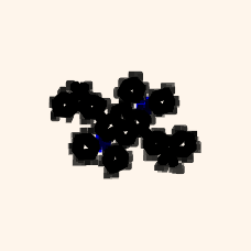 CC1(C)c2ccccc2-c2cc(-c3cc(N(c4ccccc4)c4ccccc4)c4ccc5c(-c6ccc7c(c6)-c6ccccc6C7(C)C)cc(N(c6ccccc6)c6ccccc6)c6ccc3c4c56)ccc21